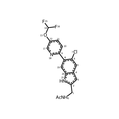 CC(=O)NCc1cc2cc(Cl)c(-c3ccc(OC(F)F)cn3)cc2[nH]1